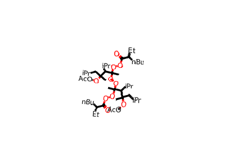 CCCCC(CC)C(=O)OOC(C)(OOC(C)(OOC(=O)C(CC)CCCC)C(C(C)C)C(C)(CC(C)C)OOC(C)=O)C(C(C)C)C(C)(CC(C)C)OOC(C)=O